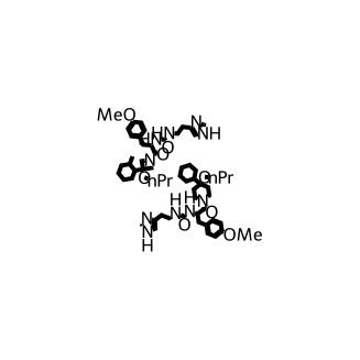 CCCOC1(C2CCCCC2)CCN(C(=O)C(Cc2ccc(OC)cc2)NC(=O)NCCc2c[nH]cn2)CC1.CCCOC1(C2CCCCC2C)CN(C(=O)C(Cc2ccc(OC)cc2)NC(=O)NCCc2c[nH]cn2)C1